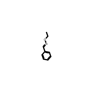 CCO/N=C/c1cc[c]cc1